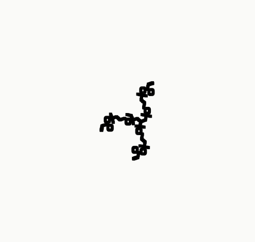 C=CC(=O)OC(C)(C)CCCOC(C)(C)CC(CC(C)(CC)OCCCC(C)(C)OC(=O)C=C)C(C)(C)OCCCC(C)(C)OC(=O)C=C